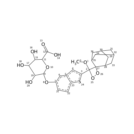 COC1(c2cc3cc(OC4OC(C(=O)O)C(O)C(O)C4O)ccc3s2)OOC12C1CC3CC(C1)CC2C3